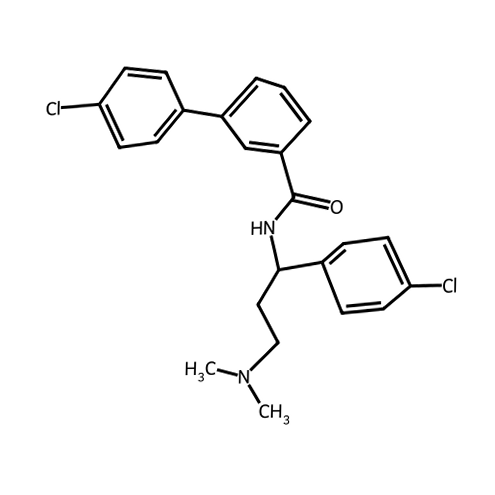 CN(C)CCC(NC(=O)c1cccc(-c2ccc(Cl)cc2)c1)c1ccc(Cl)cc1